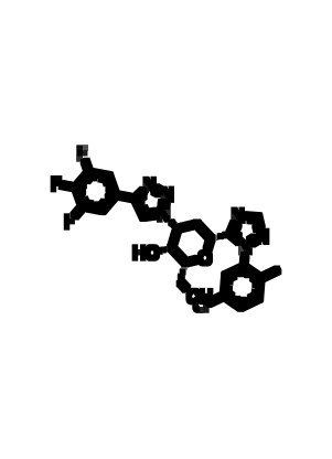 Cc1ccc(Cl)cc1-n1ncnc1[C@H]1C[C@@H](n2cc(-c3cc(F)c(F)c(F)c3)nn2)[C@@H](O)[C@@H](CO)O1